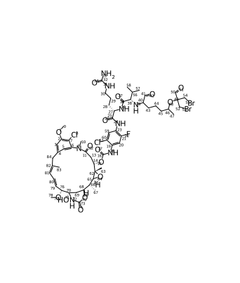 COc1cc2cc(c1Cl)N(C)C(=O)C[C@H](OC(=O)Nc1cc(F)c(NC(=O)[C@H](CCCNC(N)=O)NC(=O)[C@@H](NC(C=O)CCCC(C)OC(C=O)(CBr)CBr)C(C)C)cc1Cl)[C@]1(C)O[C@H]1[C@H](C)[C@@H]1C[C@@](O)(NC(=O)O1)[C@H](OC)/C=C/C=C(\C)C2